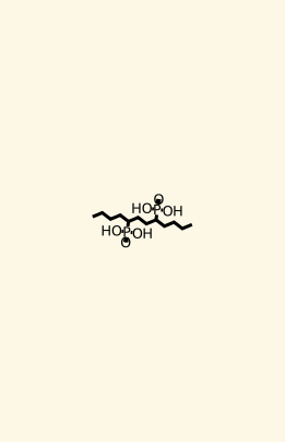 CCCCC(CCC(CCCC)P(=O)(O)O)P(=O)(O)O